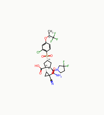 C[C@H](Oc1ccc(S(=O)(=O)[C@@H]2C[C@@H](C(=O)N3CCC(F)(F)C3)[C@](C(=O)O)(C3CC3(C#N)C(N)=O)C2)c(Cl)c1)C(F)(F)F